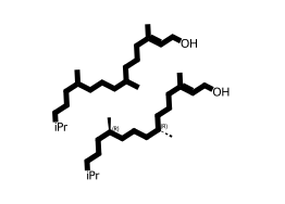 CC(=CCO)CCCC(C)CCCC(C)CCCC(C)C.CC(=CCO)CCC[C@H](C)CCC[C@H](C)CCCC(C)C